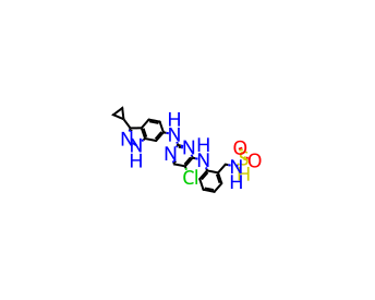 O=[SH](=O)NCc1ccccc1Nc1nc(Nc2ccc3c(C4CC4)n[nH]c3c2)ncc1Cl